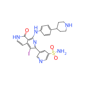 NS(=O)(=O)c1cncc(-c2nc(Nc3ccc(C4CCNCC4)cc3)c3c(=O)[nH]ccc3c2I)c1